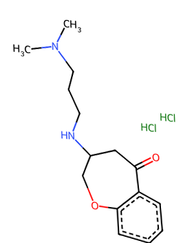 CN(C)CCCNC1COc2ccccc2C(=O)C1.Cl.Cl